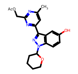 CC(=O)OCc1nc(C)cc(-c2nn(C3CCCCO3)c3ccc(O)cc23)n1